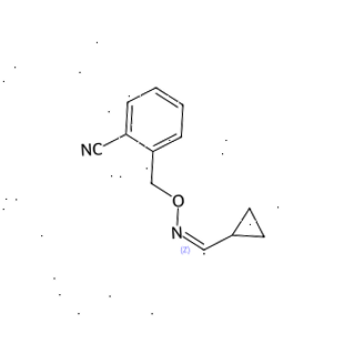 N#Cc1ccccc1CO/N=[C]\C1CC1